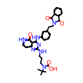 CC(C)(C)N(CCCNc1nc(Nc2cccc(CCN3C(=O)c4ccccc4C3=O)c2)c2c(=O)[nH]ccc2n1)C(=O)O